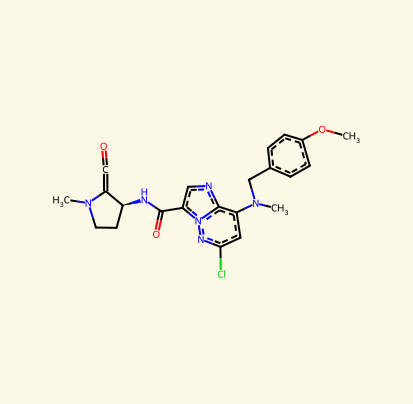 COc1ccc(CN(C)c2cc(Cl)nn3c(C(=O)N[C@H]4CCN(C)C4=C=O)cnc23)cc1